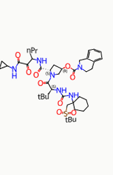 CCCC(NC(=O)[C@@H]1C[C@@H](OC(=O)N2CCc3ccccc3C2)CN1C(=O)[C@@H](NC(=O)NC1(CS(=O)(=O)C(C)(C)C)CCCCC1)C(C)(C)C)C(=O)C(=O)NC1CC1